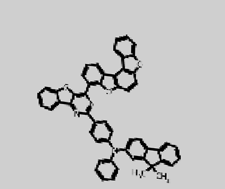 CC1(C)c2ccccc2-c2ccc(N(c3ccccc3)c3ccc(-c4nc(-c5cccc6c5oc5ccc7oc8ccccc8c7c56)c5sc6ccccc6c5n4)cc3)cc21